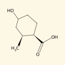 C[C@H]1CC(O)CC[C@H]1C(=O)O